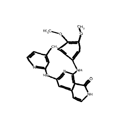 COc1ccc(Nc2nc(Nc3cc(C)ccn3)cc3cc[nH]c(=O)c23)cc1OC